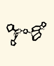 c1ccc(C2=NC(c3ccc(-n4c5ccccc5c5c6oc7ccccc7c6ccc54)cc3)N3C(c4ccccc4)N23)cc1